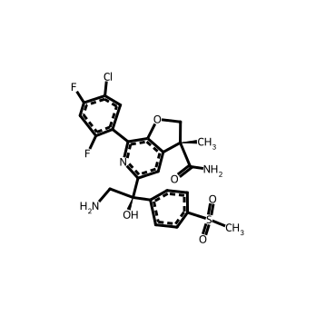 C[C@]1(C(N)=O)COc2c1cc([C@@](O)(CN)c1ccc(S(C)(=O)=O)cc1)nc2-c1cc(Cl)c(F)cc1F